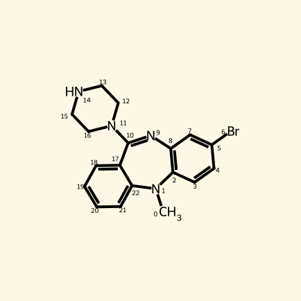 CN1c2ccc(Br)cc2N=C(N2CCNCC2)c2ccccc21